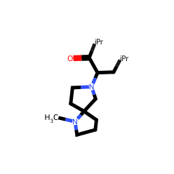 CC(C)CC(C(=O)C(C)C)N1CCC2(CCCN2C)C1